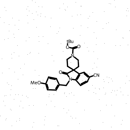 COc1ccc(CN2C(=O)C3(CCN(C(=O)OC(C)(C)C)CC3)c3cc(C#N)ccc32)cc1